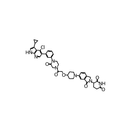 O=C1CCC(N2Cc3ccc(N4CCC(OCC(=O)N5CCN(c6cccc(-c7cnc8[nH]cc(C9CC9)c8c7Cl)c6)C(=O)C5)CC4)cc3C2=O)C(=O)N1